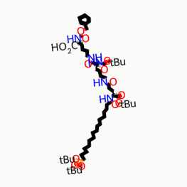 CC(C)(C)OC(=O)N[C@@H](CCCCNC(=O)CC[C@H](NC(=O)CCCCCCCCCCCCCCCCP(=O)(OC(C)(C)C)OC(C)(C)C)C(=O)OC(C)(C)C)C(=O)NCCCC[C@H](NC(=O)OCc1ccccc1)C(=O)O